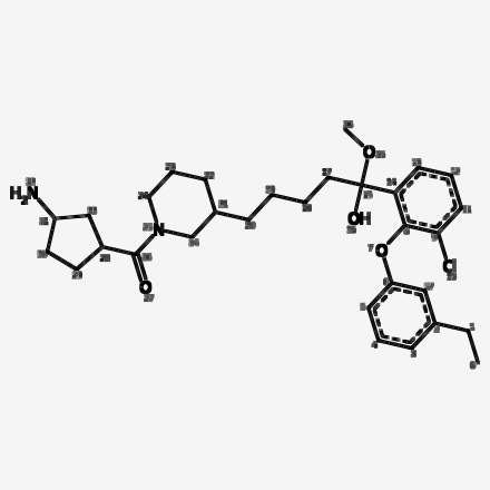 CCc1cccc(Oc2c(Cl)cccc2C(O)(CCCCC2CCCN(C(=O)C3CCC(N)C3)C2)OC)c1